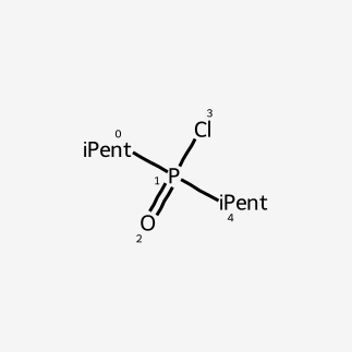 CCCC(C)P(=O)(Cl)C(C)CCC